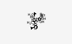 CCS(=O)(=O)C[C@H]1C[C@@H](Nc2nc(NCC3(C)CC3)nc(C)c2-c2nc3c(C4CC4)nccc3s2)[C@H](O)[C@@H]1O